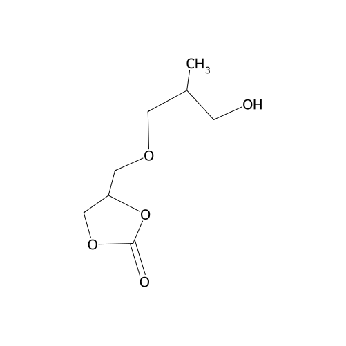 CC(CO)COCC1COC(=O)O1